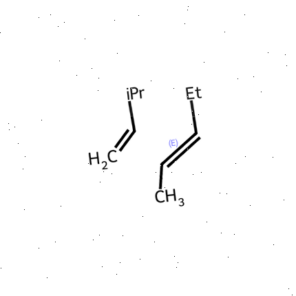 C/C=C/CC.C=CC(C)C